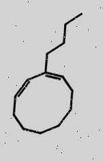 CCCCC1=C/CCCCCC/C=C\1